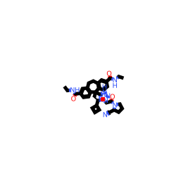 CCNC(=O)c1ccc2c(c1)CCc1cc(C(=O)NCC)ccc1C2(C[C@@H](NCC(=O)N1CCCC1C#N)C1CCC1)c1nnn[nH]1